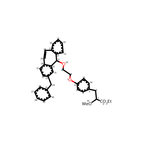 CCOC(=O)C(Cc1ccc(OCCOC2c3ccccc3C=Cc3ccc(Cc4ccccc4)cc32)cc1)OC